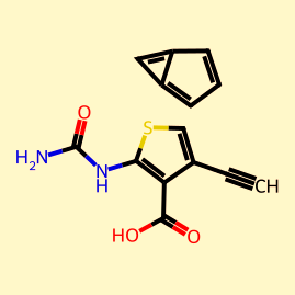 C#Cc1csc(NC(N)=O)c1C(=O)O.c1cc2cc-2c1